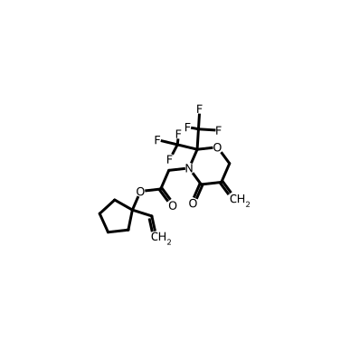 C=CC1(OC(=O)CN2C(=O)C(=C)COC2(C(F)(F)F)C(F)(F)F)CCCC1